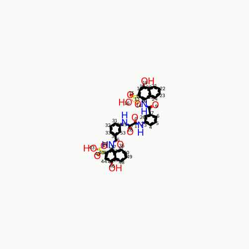 O=C(Nc1cccc(C(=O)Nc2c(S(=O)(=O)O)cc(O)c3ccccc23)c1)C(=O)Nc1cccc(C(=O)Nc2c(S(=O)(=O)O)cc(O)c3ccccc23)c1